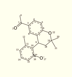 CC(=O)c1ccc2c(c1)C(c1c(C)ccc[n+]1[O-])CC(C)(C)O2